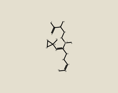 C=C(C)C(C)CCB(C)/C(=C\C1(C)CC1)CC/C=C\C